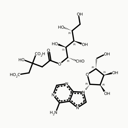 Nc1ncnc2c1ncn2[C@@H]1O[C@H](CO)[C@@H](O)[C@H]1O.O=C[C@H](OC(=O)CC(O)(CC(=O)O)C(=O)O)[C@@H](O)[C@H](O)[C@H](O)CO